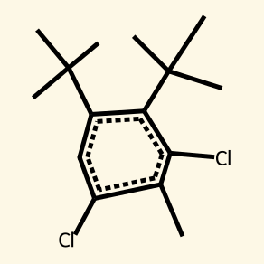 Cc1c(Cl)cc(C(C)(C)C)c(C(C)(C)C)c1Cl